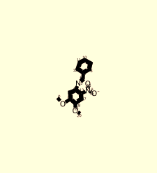 COc1cc(N=Cc2ccccc2)c([N+](=O)[O-])cc1OC